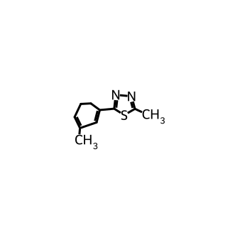 CC1=CCCC(c2nnc(C)s2)=C1